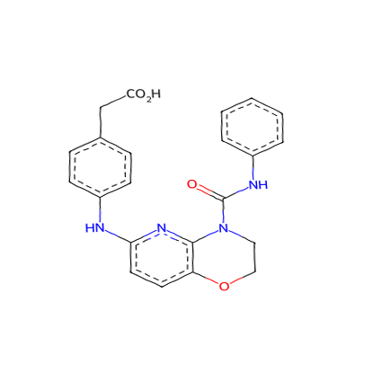 O=C(O)Cc1ccc(Nc2ccc3c(n2)N(C(=O)Nc2ccccc2)CCO3)cc1